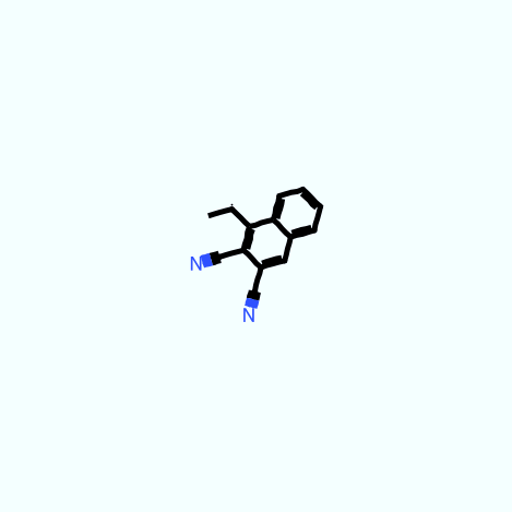 C[CH]c1c(C#N)c(C#N)cc2ccccc12